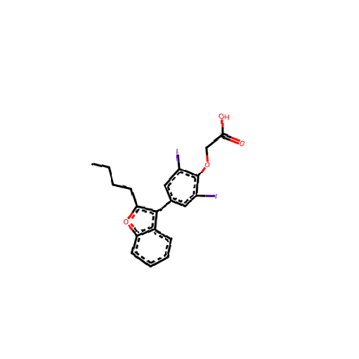 CCCCc1oc2ccccc2c1-c1cc(I)c(OCC(=O)O)c(I)c1